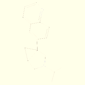 CC(C)N1CC2CC2(c2ccc3ncccc3c2)C1